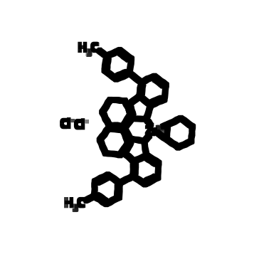 Cc1ccc(-c2cccc3c2C=C(C2CCCCC2)[CH]3[Zr+2]2([CH]3C(C4CCCCC4)=Cc4c(-c5ccc(C)cc5)cccc43)[CH]3CCCC[CH]32)cc1.[Cl-].[Cl-]